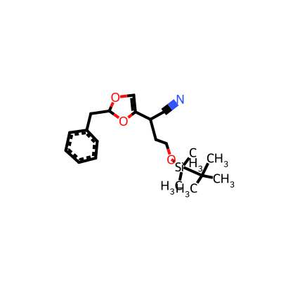 CC(C)(C)[Si](C)(C)OCCC(C#N)C1=COC(Cc2ccccc2)O1